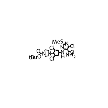 CSc1nc(Cl)c(C(N)=O)c(Nc2cc(Cl)c(N3CCN(C(=O)OC(C)(C)C)CC3)c(Cl)c2)n1